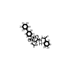 CC(CNC(=O)C1SCCN1S(=O)(=O)c1ccc(-c2ccccc2)cc1)c1ccccc1